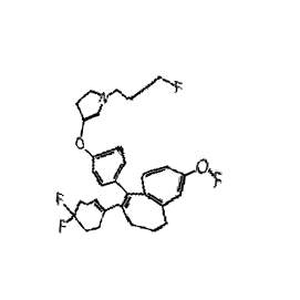 FCCCN1CCC(Oc2ccc(C3=C(C4=CCC(F)(F)CC4)CCCc4cc(OF)ccc43)cc2)C1